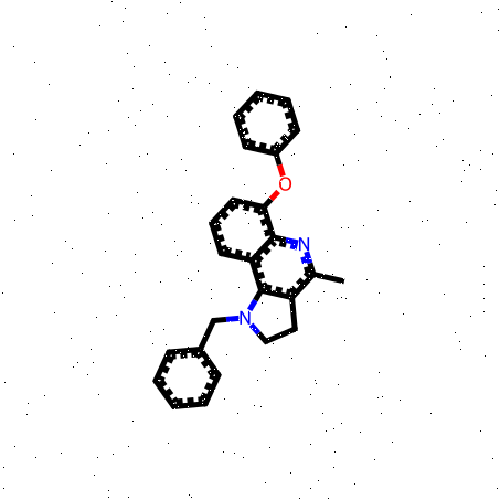 Cc1nc2c(Oc3ccccc3)cccc2c2c1CCN2Cc1ccccc1